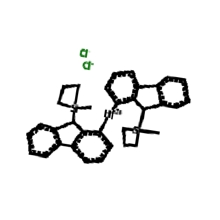 C[Si]1(C2c3ccccc3-c3ccc[c]([Hf+2][c]4cccc5c4C([Si]4(C)CCC4)c4ccccc4-5)c32)CCC1.[Cl-].[Cl-]